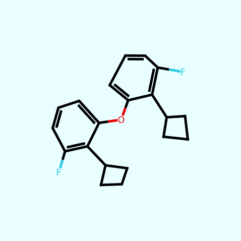 Fc1cccc(Oc2cccc(F)c2C2CCC2)c1C1CCC1